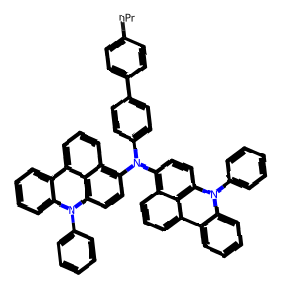 CCCc1ccc(-c2ccc(N(c3ccc4c5c(cccc35)-c3ccccc3N4c3ccccc3)c3ccc4c5c(cccc35)-c3ccccc3N4c3ccccc3)cc2)cc1